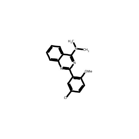 COc1ccc(Cl)cc1-c1nc(N(C)C)c2ccccc2n1